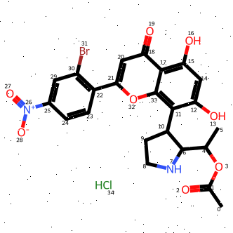 CC(=O)OC(C)C1NCCC1c1c(O)cc(O)c2c(=O)cc(-c3ccc([N+](=O)[O-])cc3Br)oc12.Cl